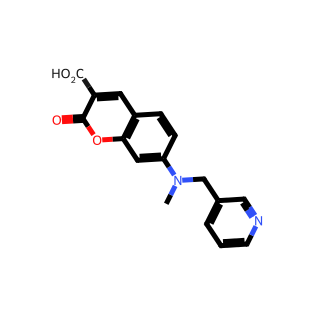 CN(Cc1cccnc1)c1ccc2cc(C(=O)O)c(=O)oc2c1